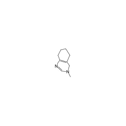 CN1C=NC2=C(CCCC2)C1